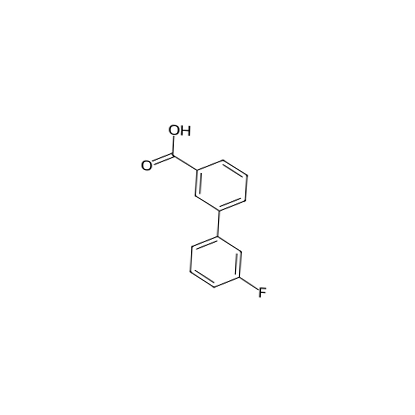 O=C(O)c1cccc(-c2cccc(F)c2)c1